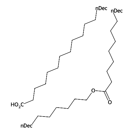 CCCCCCCCCCCCCCCCCC(=O)OCCCCCCCCCCCCCCCC.CCCCCCCCCCCCCCCCCCCCCC(=O)O